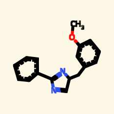 COc1cccc(CC2C=NC(c3ccccc3)=N2)c1